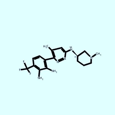 Cc1cc(N[C@@H]2CCCN(C)C2)nnc1-c1ccc(C(F)(F)F)c(N)c1N